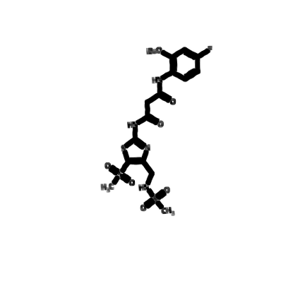 CC(C)COc1cc(F)ccc1NC(=O)CC(=O)Nc1nc(CNS(C)(=O)=O)c(S(C)(=O)=O)s1